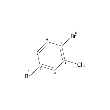 Clc1cc(Br)[c]cc1Br